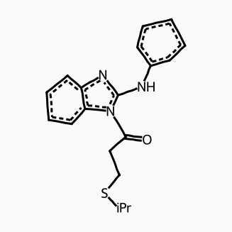 CC(C)SCCC(=O)n1c(Nc2ccccc2)nc2ccccc21